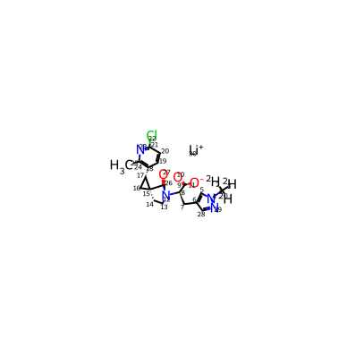 [2H]C([2H])([2H])n1cc(C[C@H](C(=O)[O-])N2CC[C@@]3(C[C@@H]3c3ccc(Cl)nc3C)C2=O)cn1.[Li+]